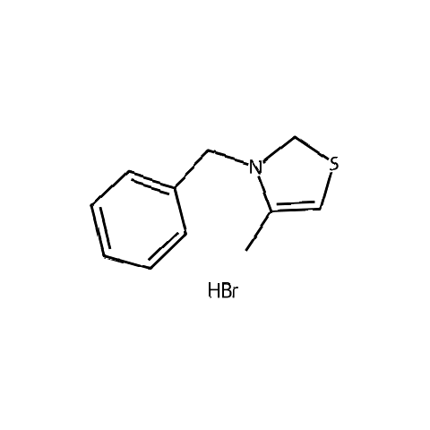 Br.CC1=CSCN1Cc1ccccc1